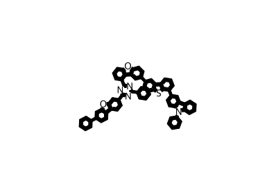 c1ccc(-c2ccc3c(c2)oc2cc(-c4nc(-c5ccccc5)nc(-c5cccc6oc7ccc(-c8ccc9sc%10c(-c%11ccc%12c(c%11)c%11ccccc%11n%12-c%11ccccc%11)cccc%10c9c8)cc7c56)n4)ccc23)cc1